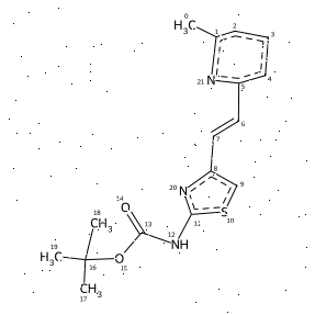 Cc1cccc(C=Cc2csc(NC(=O)OC(C)(C)C)n2)n1